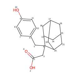 O=C(O)CC1(Cc2ccc(O)cc2)C2CC3CC(C2)CC1C3